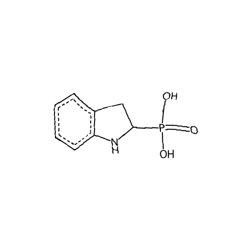 O=P(O)(O)C1Cc2ccccc2N1